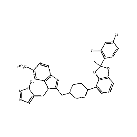 CCn1nncc1Cn1c(CN2CCC(c3cccc4c3OC(C)(c3ccc(Cl)cc3F)O4)CC2)nc2ccc(C(=O)O)cc21